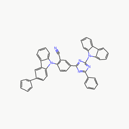 N#Cc1cc(-c2nc(-c3ccccc3)nc(-n3c4ccccc4c4ccccc43)n2)ccc1-n1c2ccccc2c2cc(-c3ccccc3)ccc21